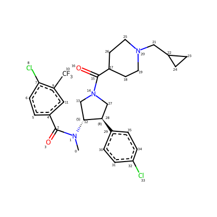 CN(C(=O)c1ccc(Cl)c(C(F)(F)F)c1)[C@@H]1CN(C(=O)C2CCN(CC3CC3)CC2)C[C@H]1c1ccc(Cl)cc1